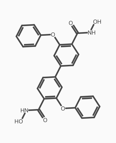 O=C(NO)c1ccc(-c2ccc(C(=O)NO)c(Oc3ccccc3)c2)cc1Oc1ccccc1